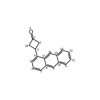 O=C1CC(c2cccc3cc4ccccc4cc23)C1